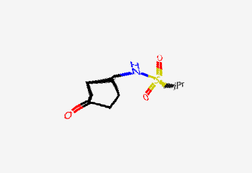 CC(C)S(=O)(=O)NC1CC(=O)C1